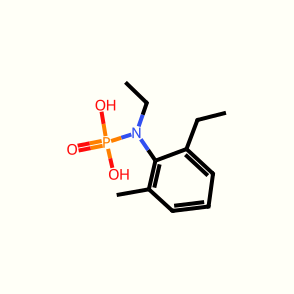 CCc1cccc(C)c1N(CC)P(=O)(O)O